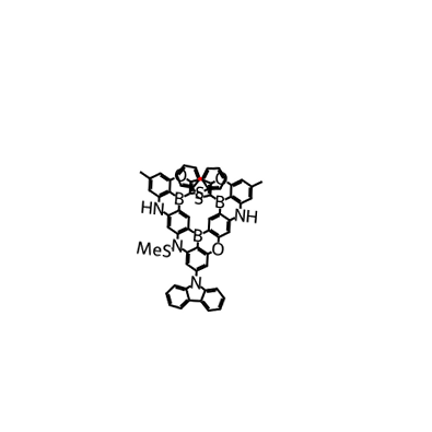 CSN1c2cc3c(cc2B2c4cc5c(cc4Oc4cc(-n6c7ccccc7c7ccccc76)cc1c42)Nc1cc(C)cc2c1B5c1sc4ccccc4c1O2)B1c2sc4ccccc4c2Oc2cc(C)cc(c21)N3